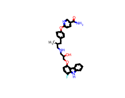 CC(CNCC(O)COc1ccc(F)c2[nH]c3ccccc3c12)Cc1ccc(Oc2ccc(C(N)=O)cn2)cc1